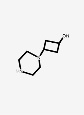 OC1CC(N2CCNCC2)C1